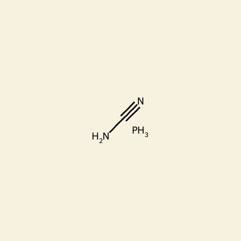 N#CN.P